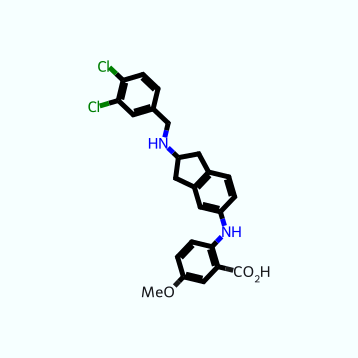 COc1ccc(Nc2ccc3c(c2)CC(NCc2ccc(Cl)c(Cl)c2)C3)c(C(=O)O)c1